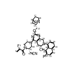 C=C(F)C(=O)N1CCN(c2nc(OC[C@@H]3CC4CCN3C4)nc3c2CCN(c2cccc4ccc(F)c(Cl)c24)C3)C[C@@H]1CC#N